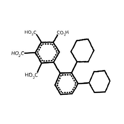 O=C(O)c1cc(-c2cccc(C3CCCCC3)c2C2CCCCC2)c(C(=O)O)c(C(=O)O)c1C(=O)O